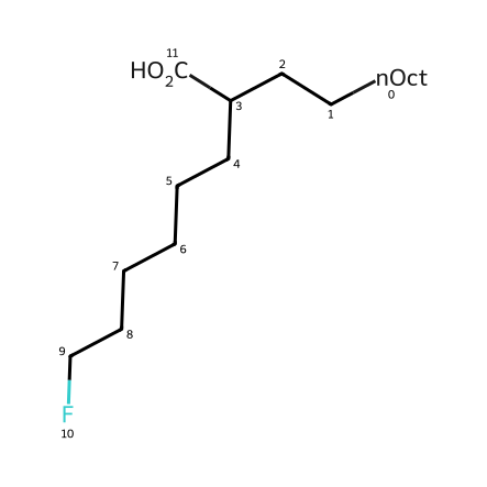 CCCCCCCCCCC(CCCCCCF)C(=O)O